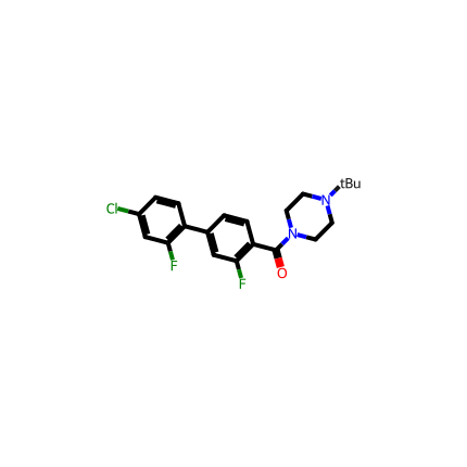 CC(C)(C)N1CCN(C(=O)c2ccc(-c3ccc(Cl)cc3F)cc2F)CC1